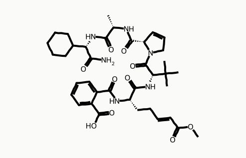 COC(=O)/C=C/CC[C@H](NC(=O)c1ccccc1C(=O)O)C(=O)N[C@H](C(=O)N1CC=C[C@H]1C(=O)N[C@@H](C)C(=O)N[C@H](C(N)=O)C1CCCCC1)C(C)(C)C